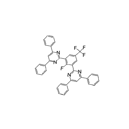 Fc1c(-c2nc(-c3ccccc3)cc(-c3ccccc3)n2)cc(C(F)(F)F)cc1-c1nc(-c2ccccc2)cc(-c2ccccc2)n1